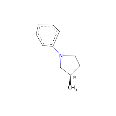 C[C@@H]1CCN(c2ccccc2)C1